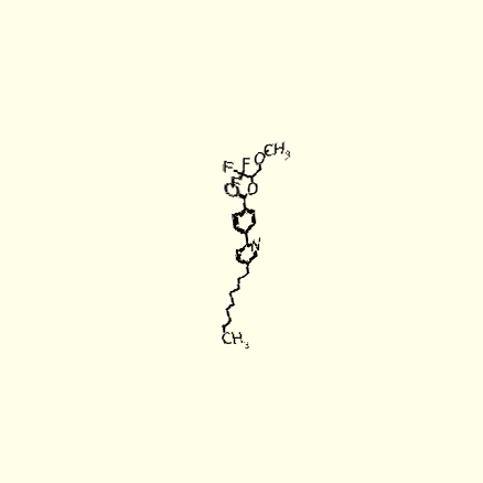 CCCCCCCCCc1ccc(-c2ccc(C(=O)OC(COC)C(F)(F)F)cc2)nc1